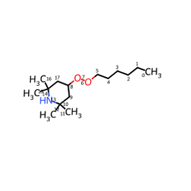 CCCCCCOOC1CC(C)(C)NC(C)(C)C1